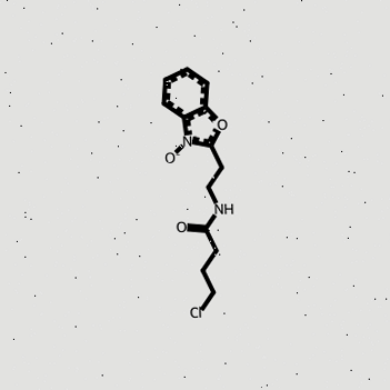 O=C(CCCCl)NCCc1oc2ccccc2[n+]1[O-]